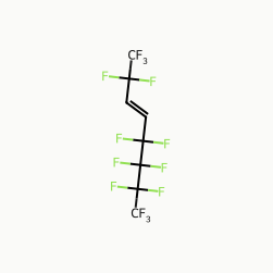 FC(F)(F)C(F)(F)C=CC(F)(F)C(F)(F)C(F)(F)C(F)(F)F